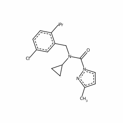 Cc1ccn(C(=O)N(Cc2cc(Cl)ccc2C(C)C)C2CC2)n1